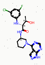 C[C@@H](O)[C@@H](Nc1cc(F)cc(Cl)c1)C(=O)N[C@@H]1CCCN(c2ncnc3[nH]ncc23)C1